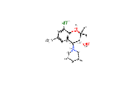 CC1(C)Oc2ccc([N+](=O)[O-])cc2[C@H](N2CCCCC2)[C@H]1O.Cl